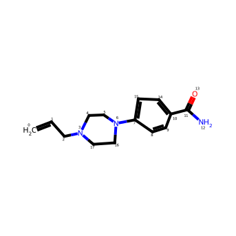 C=CCN1CCN(c2ccc(C(N)=O)cc2)CC1